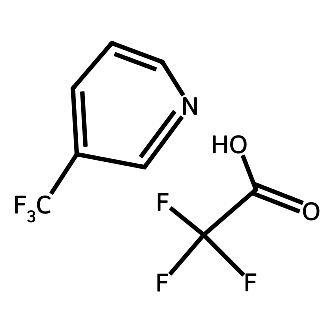 FC(F)(F)c1cccnc1.O=C(O)C(F)(F)F